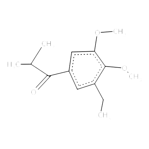 CCc1cc(C(=O)C(C)C)cc(OC)c1OC